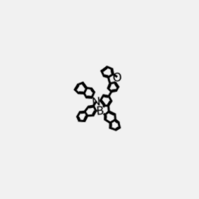 c1ccc2cc(N3c4cc5ccccc5cc4B4c5cc6ccccc6cc5-c5cc(-c6ccc7oc8ccccc8c7c6)cc3c54)ccc2c1